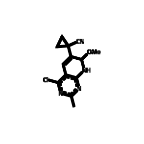 COC1Nc2nc(C)nc(Cl)c2C=C1C1(C#N)CC1